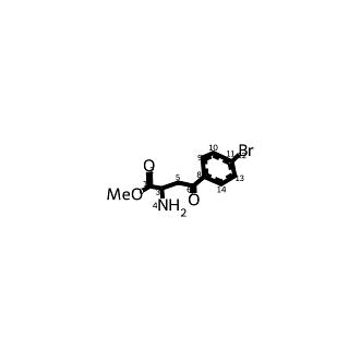 COC(=O)C(N)CC(=O)c1ccc(Br)cc1